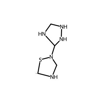 [CH]1NCN(C2NCNN2)S1